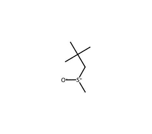 C[S+]([O-])CC(C)(C)C